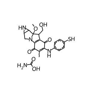 COC12C(CO)C3=C(C(=O)C(C)=C(Nc4ccc(S)cc4)C3=O)N1CC1NC12.NC(=O)O